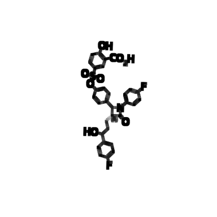 O=C(O)c1cc(S(=O)(=O)Oc2ccc(C3[C@@H](CCC(O)c4ccc(F)cc4)C(=O)N3c3ccc(F)cc3)cc2)ccc1O